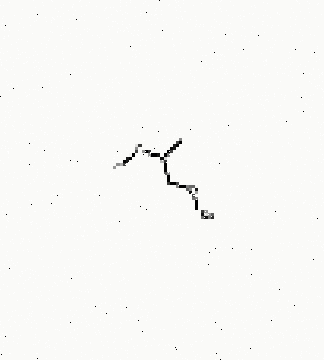 CC(C)OC(C)COC(C)(C)C